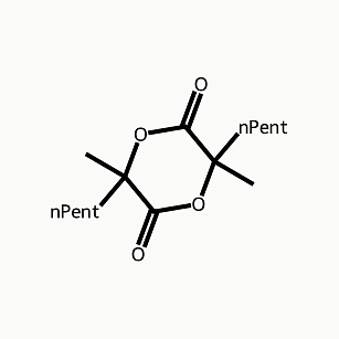 CCCCCC1(C)OC(=O)C(C)(CCCCC)OC1=O